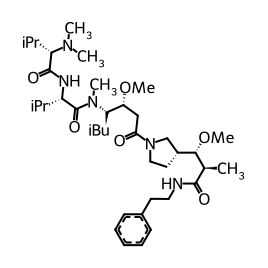 CC[C@H](C)[C@@H]([C@@H](CC(=O)N1CC[C@@H]([C@H](OC)[C@@H](C)C(=O)NCCc2ccccc2)C1)OC)N(C)C(=O)[C@@H](NC(=O)[C@H](C(C)C)N(C)C)C(C)C